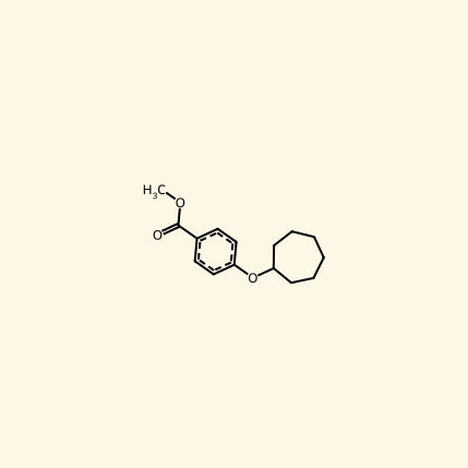 COC(=O)c1ccc(OC2CCCCCC2)cc1